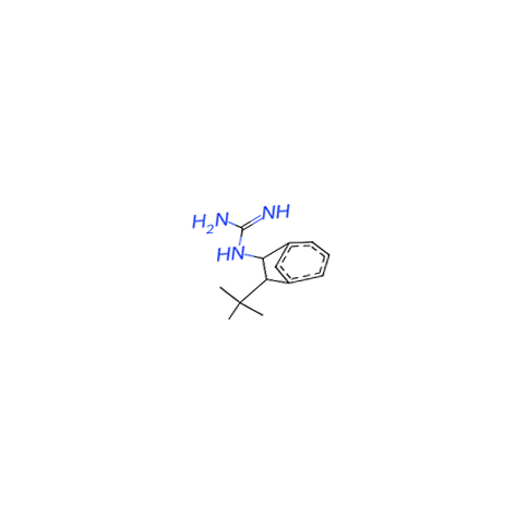 CC(C)(C)C1c2cccc(c2)C1NC(=N)N